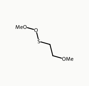 COCCSOOC